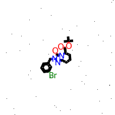 CC(C)(C)OC(=O)C1CCCc2nn(Cc3cccc(Br)c3)c(=O)n21